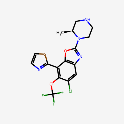 C[C@H]1CNCCN1c1nc2cc(Cl)c(OC(F)(F)F)c(-c3nccs3)c2o1